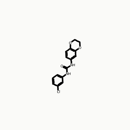 O=C(Nc1cccc(Cl)c1)Nc1ccc2c(c1)OCCO2